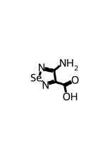 Nc1n[se]nc1C(=O)O